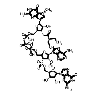 CCN(CC)C(=O)C[C@@H]1[C@@H](COP(=O)(O)OP(=O)(O)OP(=O)(O)OCC2O[C@@H](n3cnc4c(N)ncnc43)[C@H](OC)[C@@H]2P(=O)([O-])OC[C@H]2O[C@@H](n3cnc4c(=O)[nH]c(N)nc43)[C@H](O)[C@@H]2O)OC(n2c[n+](C)c3c(=O)[nH]c(N)nc32)[C@@H]1O